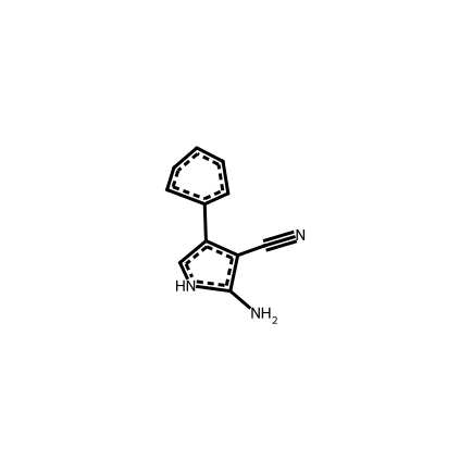 N#Cc1c(-c2ccccc2)c[nH]c1N